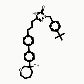 CC(C)(C)c1ccc(Cn2nc(CCCc3ccc(-c4ccc(C5(O)CCCCOC5)cc4)cc3)[nH]c2=O)cc1